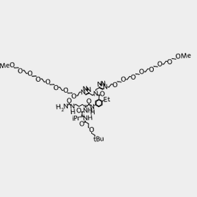 CCc1ccc(NC(=O)[C@H](CCCNC(N)=O)NC(=O)[C@@H](NC(=O)CCOCCC(C)(C)C)C(C)C)cc1C(=O)N(Cc1cn(CCOCCOCCOCCOCCOCCOCCOCCOC)nn1)Cc1cn(CCOCCOCCOCCOCCOCCOCCOCCOC)nn1